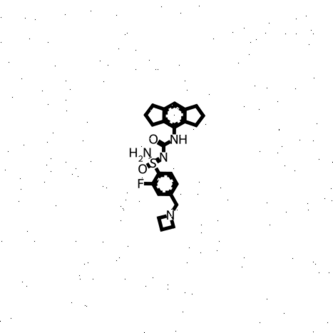 NS(=O)(=NC(=O)Nc1c2c(cc3c1CCC3)CCC2)c1ccc(CN2CCC2)cc1F